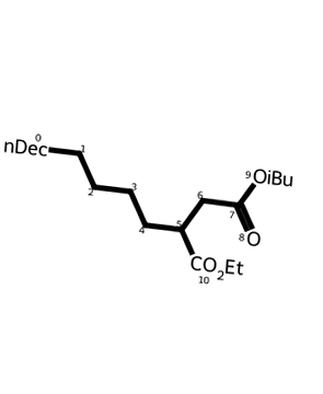 CCCCCCCCCCCCCCC(CC(=O)OCC(C)C)C(=O)OCC